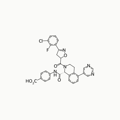 O=C(O)c1ccc(NC(=O)[C@H]2c3cccc(-c4cncnc4)c3CCN2C(=O)C2CC(c3cccc(Cl)c3F)=NO2)cc1